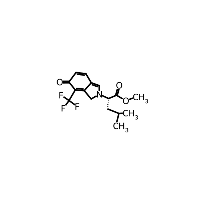 COC(=O)[C@H](CC(C)C)N1C=C2C=CC(=O)C(C(F)(F)F)=C2C1